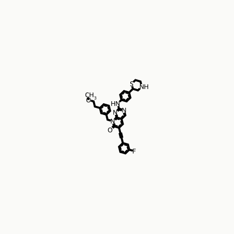 COCCc1cccc(Cn2c(=O)c(C#Cc3cccc(F)c3)cc3cnc(Nc4ccc(C5CNCCS5)cc4)nc32)c1